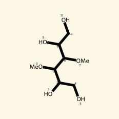 COC(C(O)CO)C(OC)C(O)CO